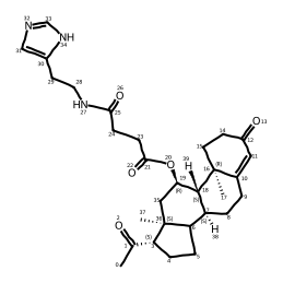 CC(=O)[C@H]1CCC2[C@@H]3CCC4=CC(=O)CC[C@]4(C)[C@H]3[C@H](OC(=O)CCC(=O)NCCc3cnc[nH]3)C[C@@]21C